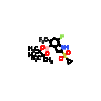 CC1(C)OB(c2c(C(F)(F)F)cc(F)c3[nH]c(S(=O)(=O)C4CC4)cc23)OC1(C)C